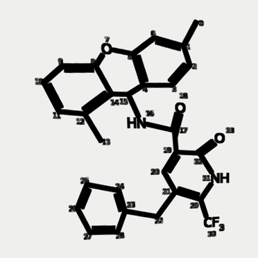 Cc1ccc2c(c1)Oc1cccc(C)c1C2NC(=O)c1cc(Cc2ccccc2)c(C(F)(F)F)[nH]c1=O